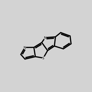 C1=Nc2c3c(sc2=C1)=c1ccccc1=N3